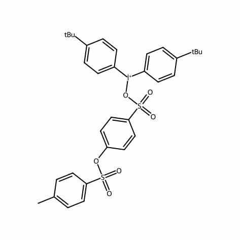 Cc1ccc(S(=O)(=O)Oc2ccc(S(=O)(=O)O[I+](c3ccc(C(C)(C)C)cc3)c3ccc(C(C)(C)C)cc3)cc2)cc1